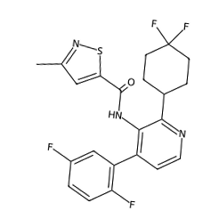 Cc1cc(C(=O)Nc2c(-c3cc(F)ccc3F)ccnc2C2CCC(F)(F)CC2)sn1